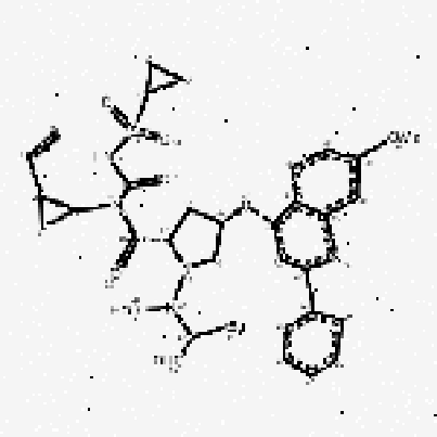 C=CC1CC1N(C(=O)NS(=O)(=O)C1CC1)C(=O)[C@@H]1C[C@@H](Oc2cc(-c3ccccc3)nc3cc(OC)ccc23)CN1N(C(=O)O)[C@H](C=O)C(C)(C)C